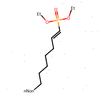 CCCCCCCCCCCCCC/C=C/P(=O)(OCC)OCC